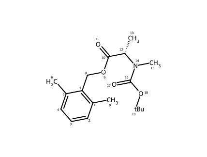 Cc1cccc(C)c1COC(=O)[C@H](C)N(C)C(=O)OC(C)(C)C